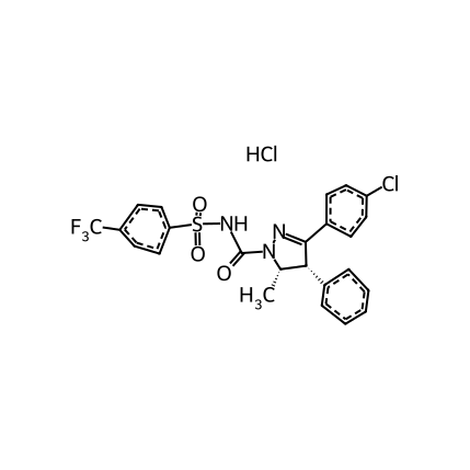 C[C@H]1[C@@H](c2ccccc2)C(c2ccc(Cl)cc2)=NN1C(=O)NS(=O)(=O)c1ccc(C(F)(F)F)cc1.Cl